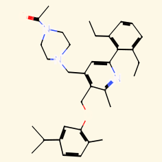 CCc1cccc(CC)c1-c1cc(CN2CCN(C(C)=O)CC2)c(COc2cc(C(C)C)ccc2C)c(C)n1